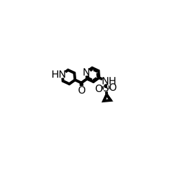 O=C(c1cc(NS(=O)(=O)C2CC2)ccn1)C1CCNCC1